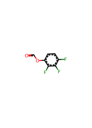 O=COc1ccc(F)c(F)c1F